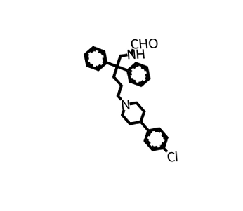 O=CNCC(CCCN1CCC(c2ccc(Cl)cc2)CC1)(c1ccccc1)c1ccccc1